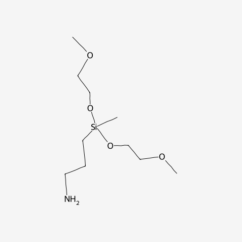 COCCO[Si](C)(CCCN)OCCOC